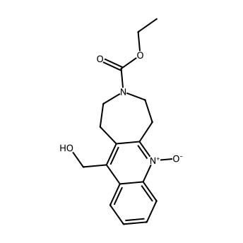 CCOC(=O)N1CCc2c(CO)c3ccccc3[n+]([O-])c2CC1